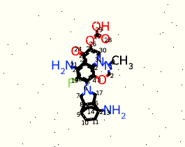 CN1COc2c(N3CC4C5CCC(N)(CC5)C4C3)c(F)c(N)c3c(=O)c(OC(=O)O)cn1c23